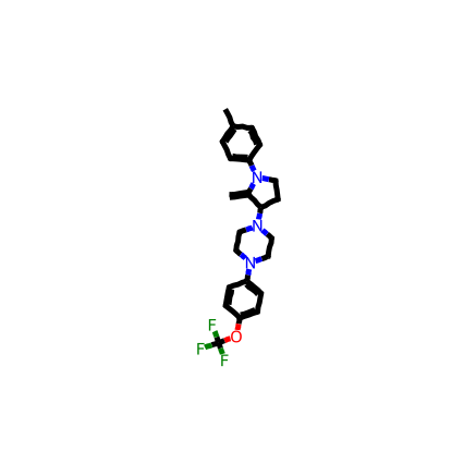 C=C1C(N2CCN(c3ccc(OC(F)(F)F)cc3)CC2)CCN1c1ccc(C)cc1